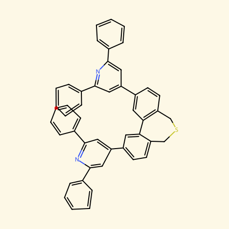 c1ccc(-c2cc(-c3ccc4c(c3)-c3cc(-c5cc(-c6ccccc6)nc(-c6ccccc6)c5)ccc3CSC4)cc(-c3ccccc3)n2)cc1